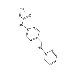 C=CC(=O)Nc1ccc(CNc2ccccn2)cc1